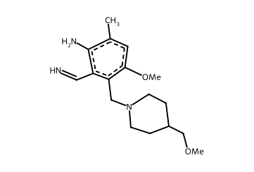 COCC1CCN(Cc2c(OC)cc(C)c(N)c2C=N)CC1